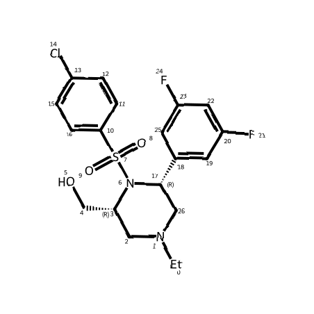 CCN1C[C@H](CO)N(S(=O)(=O)c2ccc(Cl)cc2)[C@H](c2cc(F)cc(F)c2)C1